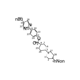 CCCCCCCCC[C@H]1CC[C@H]([C@H]2CC[C@H](C(=O)Oc3ccc(-c4ncc(CCCC)cn4)cc3)CC2)CC1